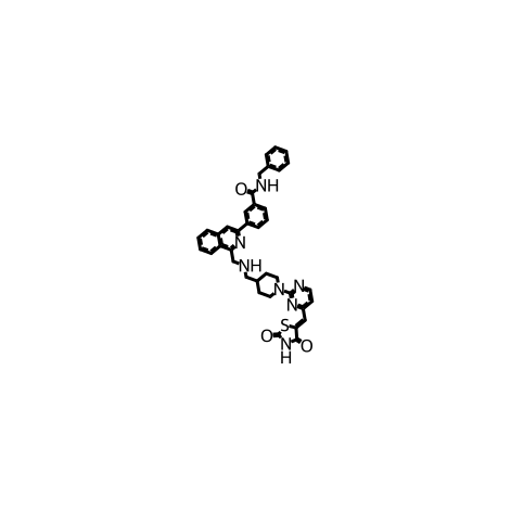 O=C1NC(=O)C(=Cc2ccnc(N3CCC(CNCc4nc(-c5cccc(C(=O)NCc6ccccc6)c5)cc5ccccc45)CC3)n2)S1